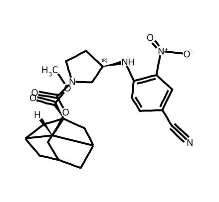 COC(=O)[C@]12CC3CC(C1)[C@@H](OC(=O)N1CC[C@@H](Nc4ccc(C#N)cc4[N+](=O)[O-])C1)C(C3)C2